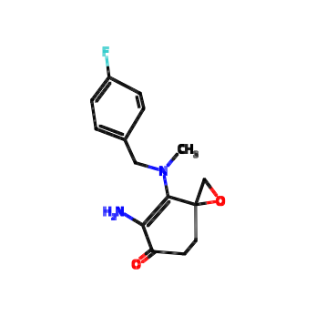 CN(Cc1ccc(F)cc1)C1=C(N)C(=O)CCC12CO2